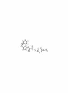 CN1CCN(CCCNC(=O)Cn2ncc3c2-c2ccccc2OC3)CC1